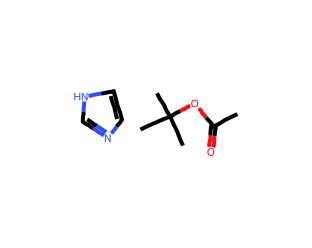 CC(=O)OC(C)(C)C.c1c[nH]cn1